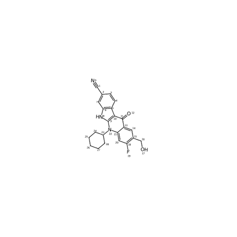 N#Cc1ccc2c(c1)[nH]c1c2c(=O)c2cc(CO)c(F)cc2n1C1CCCCC1